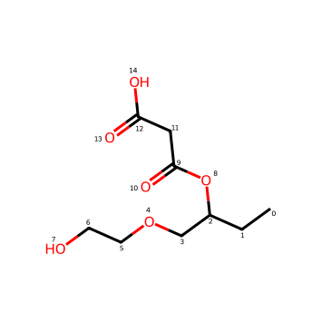 CCC(COCCO)OC(=O)CC(=O)O